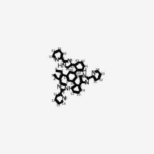 C=C/C(=C(\C=C)c1c[nH]c(-c2ccccn2)n1)c1cc(-c2ccccc2-c2c[nH]c(-c3ccccn3)n2)cc(-c2ccccc2C2CNC(c3ccccn3)=N2)c1